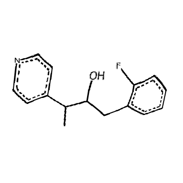 CC(c1ccncc1)C(O)Cc1ccccc1F